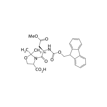 COC(=O)C[C@@H](NC(=O)OCC1c2ccccc2-c2ccccc21)C(=O)N1C(C(=O)O)COC1(C)C